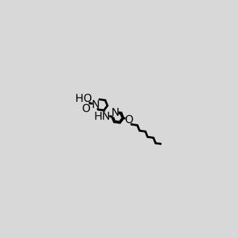 CCCCCCCCOc1ccc(NC2CCCN(C(=O)O)C2)nc1